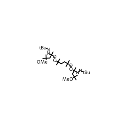 COC(C)(C)CC(C)(N=NC(C)(C)C)OOC(C)(C)CCC(C)(C)OOC(C)(CC(C)(C)OC)N=NC(C)(C)C